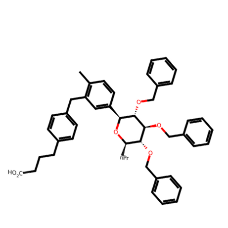 CCC[C@H]1O[C@@H](c2ccc(C)c(Cc3ccc(CCCC(=O)O)cc3)c2)[C@H](OCc2ccccc2)[C@@H](OCc2ccccc2)[C@@H]1OCc1ccccc1